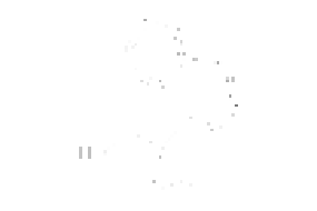 OCC1(c2cccc3ccccc23)CO1